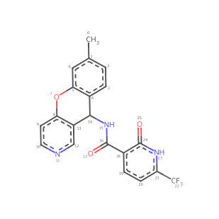 Cc1ccc2c(c1)Oc1ccncc1C2NC(=O)c1ccc(C(F)(F)F)[nH]c1=O